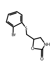 O=C1NCC(CSc2ccccc2Br)O1